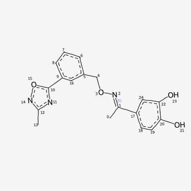 C/C(=N\OCc1cccc(-c2nc(C)no2)c1)c1ccc(O)c(O)c1